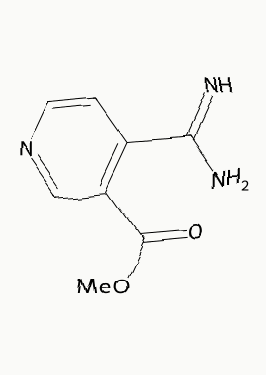 COC(=O)c1cnccc1C(=N)N